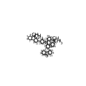 CC1(C)c2ccccc2-c2ccc(-c3ccc(N(c4ccc(-c5cccc6sc7ccccc7c56)cc4)c4cccc5c4-c4ccccc4C5(C)C)cc3)cc21